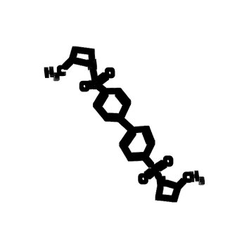 CC1CCN1S(=O)(=O)c1ccc(-c2ccc(S(=O)(=O)N3CCC3C)cc2)cc1